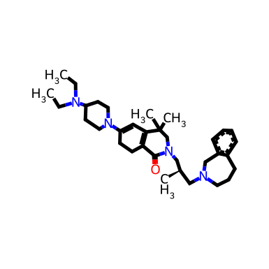 CCN(CC)C1CCN(C2=CC3=C(CC2)C(=O)N(C[C@H](C)CN2CCCc4ccccc4C2)CC3(C)C)CC1